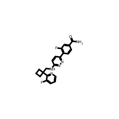 NC(=O)c1ccc(-c2ccc(NCC3(c4ncccc4F)CCC3)nn2)c(F)c1